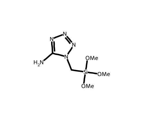 CO[Si](Cn1nnnc1N)(OC)OC